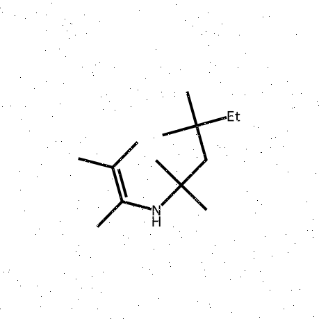 CCC(C)(C)CC(C)(C)NC(C)=C(C)C